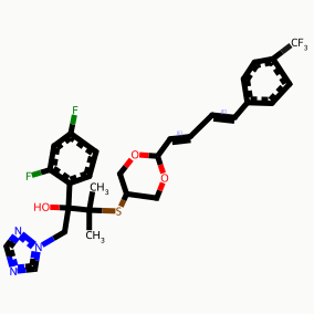 CC(C)(SC1COC(/C=C/C=C/c2ccc(C(F)(F)F)cc2)OC1)C(O)(Cn1cncn1)c1ccc(F)cc1F